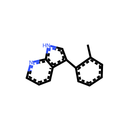 Cc1ccccc1-c1c[nH]c2ncccc12